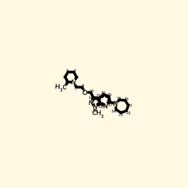 CC1CCCCN1CCOCc1nn(C)c2nc(N3CCCCCC3)ccc12